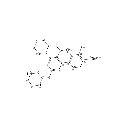 CN(C[C@H]1CCCOC1)c1ccc(CC2CNCCO2)cc1-c1ccc(C#N)c(F)c1